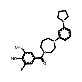 O=Cc1cc(C(=O)N2CCCN(c3cccc(N4CCCC4)c3)CC2)cc(F)c1O